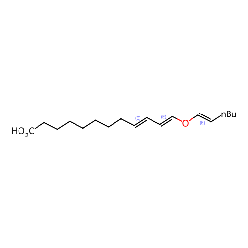 CCCC/C=C/O/C=C/C=C/CCCCCCCC(=O)O